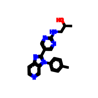 Cc1ccc(-n2c(-c3cnc(NCC(C)O)nc3)nc3ccncc32)cc1